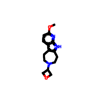 COc1ccc2c3c([nH]c2n1)CCN(C1COC1)CC3